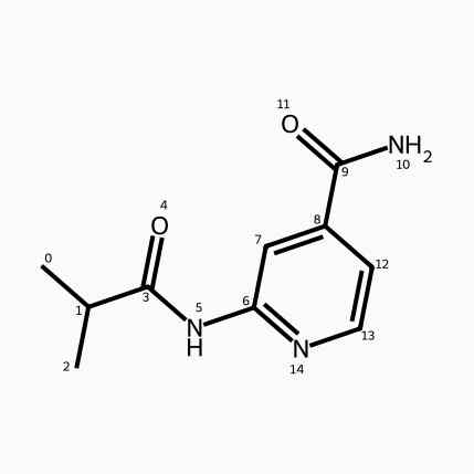 CC(C)C(=O)Nc1cc(C(N)=O)ccn1